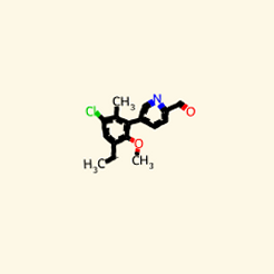 C[CH]c1cc(Cl)c(C)c(-c2ccc(C=O)nc2)c1OC